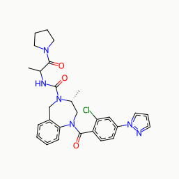 CC(NC(=O)N1Cc2ccccc2N(C(=O)c2ccc(-n3cccn3)cc2Cl)C[C@H]1C)C(=O)N1CCCC1